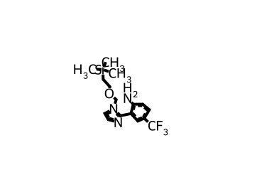 C[Si](C)(C)CCOCn1ccnc1-c1cc(C(F)(F)F)ccc1N